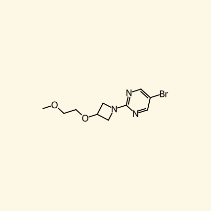 COCCOC1CN(c2ncc(Br)cn2)C1